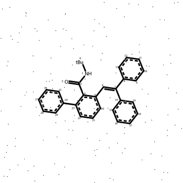 CC(C)(C)NC(=O)c1c(C=C(c2ccccc2)c2ccccc2)cccc1-c1ccccc1